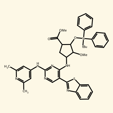 COC(=O)C1CC(Nc2nc(Nc3cc(C)nc(C)c3)ncc2-c2nc3ccccc3s2)C(OC)C1O[Si](c1ccccc1)(c1ccccc1)C(C)(C)C